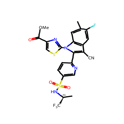 COC(=O)c1csc(-n2c(-c3ccc(S(=O)(=O)N[C@@H](C)C(F)(F)F)cn3)c(C#N)c3cc(F)c(C)cc32)n1